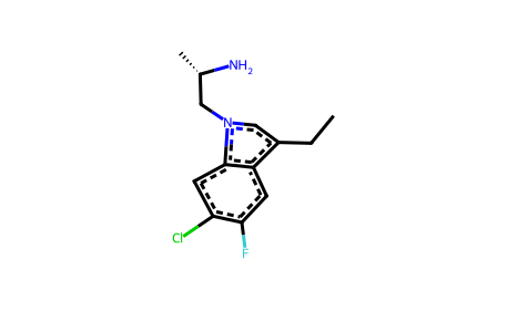 CCc1cn(C[C@H](C)N)c2cc(Cl)c(F)cc12